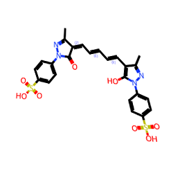 CC1=NN(c2ccc(S(=O)(=O)O)cc2)C(=O)\C1=C/C=C/C=C/c1c(C)nn(-c2ccc(S(=O)(=O)O)cc2)c1O